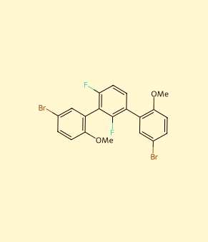 COc1ccc(Br)cc1-c1ccc(F)c(-c2cc(Br)ccc2OC)c1F